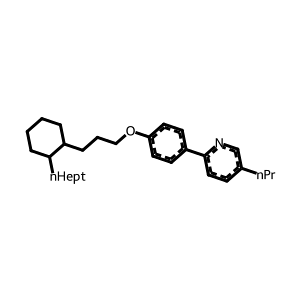 CCCCCCCC1CCCCC1CCCOc1ccc(-c2ccc(CCC)cn2)cc1